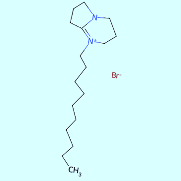 CCCCCCCCCC[N+]1=C2CCCN2CCC1.[Br-]